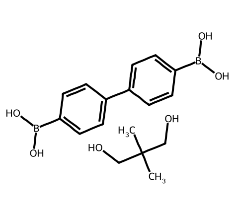 CC(C)(CO)CO.OB(O)c1ccc(-c2ccc(B(O)O)cc2)cc1